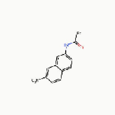 CC(C)C(=O)Nc1ccc2ccc([N+](=O)[O-])cc2c1